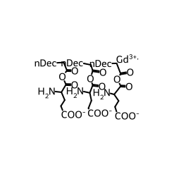 CCCCCCCCCCCC(=O)OC(=O)C(N)CCC(=O)[O-].CCCCCCCCCCCC(=O)OC(=O)C(N)CCC(=O)[O-].CCCCCCCCCCCC(=O)OC(=O)C(N)CCC(=O)[O-].[Gd+3]